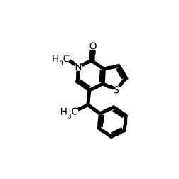 CC(c1ccccc1)c1cn(C)c(=O)c2ccsc12